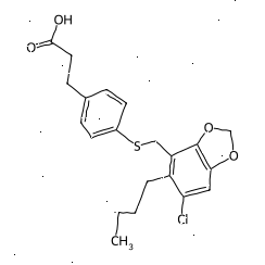 C[CH]CCc1c(Cl)cc2c(c1CSc1ccc(CCC(=O)O)cc1)OCO2